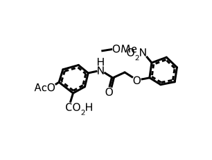 CC(=O)Oc1ccc(NC(=O)COc2ccccc2[N+](=O)[O-])cc1C(=O)O.COC